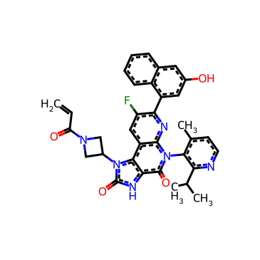 C=CC(=O)N1CC(n2c(=O)[nH]c3c(=O)n(-c4c(C)ccnc4C(C)C)c4nc(-c5cc(O)cc6ccccc56)c(F)cc4c32)C1